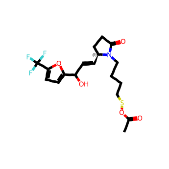 CC(=O)OSCCCCN1C(=O)CC[C@@H]1C=CC(O)c1ccc(C(F)(F)F)o1